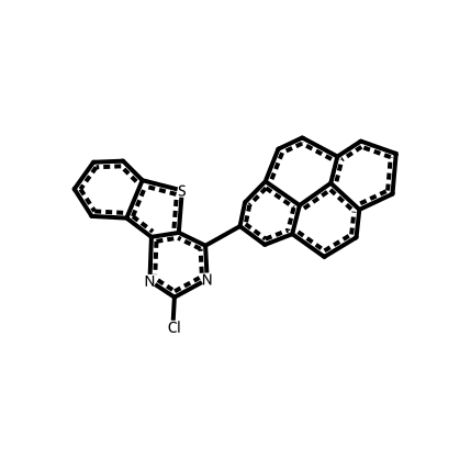 Clc1nc(-c2cc3ccc4cccc5ccc(c2)c3c45)c2sc3ccccc3c2n1